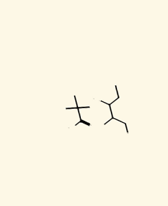 CC(C)(C)C(=O)O.CCC(O)C(C)CO